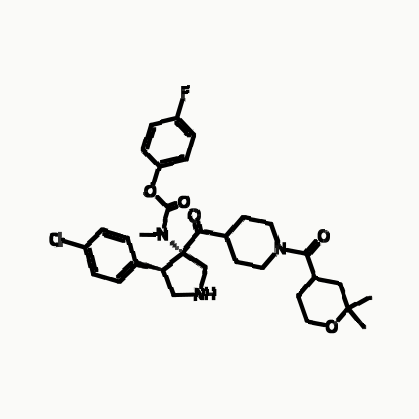 CN(C(=O)Oc1ccc(F)cc1)[C@]1(C(=O)C2CCN(C(=O)C3CCOC(C)(C)C3)CC2)CNC[C@H]1c1ccc(Cl)cc1